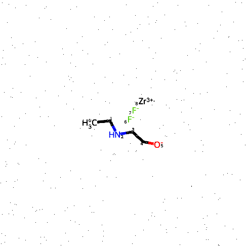 CCNCC[O-].[F-].[F-].[Zr+3]